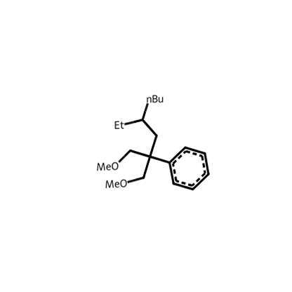 CCCCC(CC)CC(COC)(COC)c1ccccc1